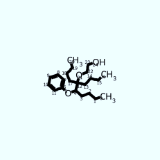 CCCCC(Oc1ccccc1)C(CCCC)(CCCC)OCCO